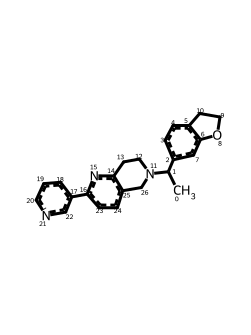 CC(c1ccc2c(c1)OCC2)N1CCc2nc(-c3cccnc3)ccc2C1